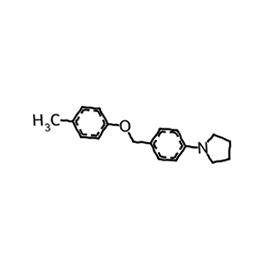 Cc1ccc(OCc2ccc(N3CCCC3)cc2)cc1